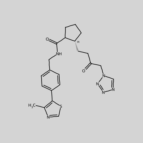 Cc1ncsc1-c1ccc(CNC(=O)C2CCC[C@@H]2CCC(=O)Cn2cnnn2)cc1